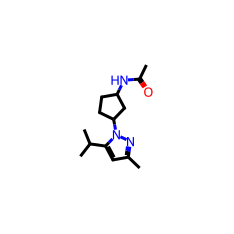 CC(=O)NC1CCC(n2nc(C)cc2C(C)C)C1